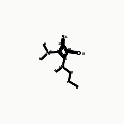 CCCN(C)c1c(N(C)C)c(=S)c1=O